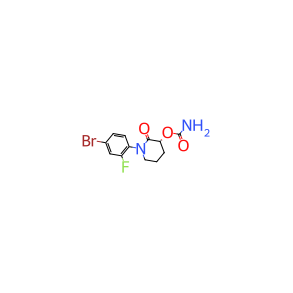 NC(=O)O[C@@H]1CCCN(c2ccc(Br)cc2F)C1=O